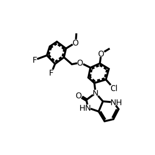 COc1cc(Cl)c(N2C(=O)NC3=CC=CNC32)cc1OCc1c(OC)ccc(F)c1F